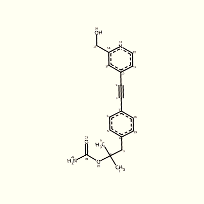 CC(C)(Cc1ccc(C#Cc2ccnc(CO)c2)cc1)OC(N)=O